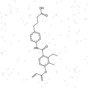 C=CC(=C)Oc1ccc(C(=O)Nc2ccc(CCCC(=O)O)cc2)c(CC)c1C